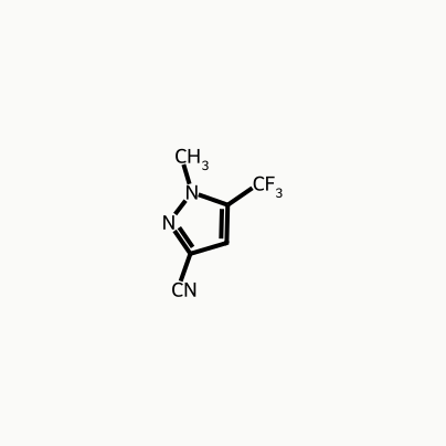 Cn1nc(C#N)cc1C(F)(F)F